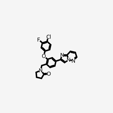 O=C1CCCN1Cc1ccc(-c2cn3ncccc3n2)cc1Oc1ccc(Cl)c(F)c1